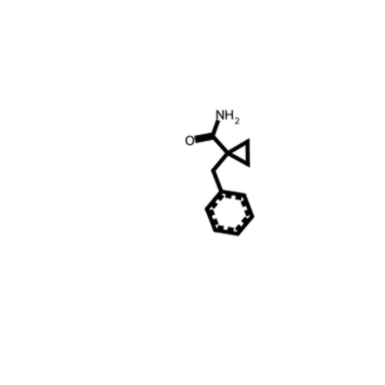 NC(=O)C1(Cc2ccccc2)CC1